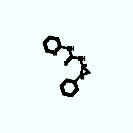 S=C(Nc1ccccn1)N[C@@H]1C[C@@H]1c1ccccc1